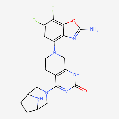 Nc1nc2c(N3CCc4c(N5CC6CCC(C5)N6)nc(=O)[nH]c4C3)cc(F)c(F)c2o1